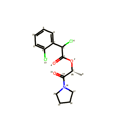 C[C@@H](OC(=O)C(Cl)c1ccccc1Cl)C(=O)N1CCCC1